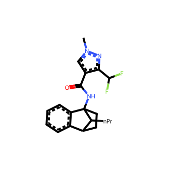 CCCC1C2CCC1(NC(=O)c1cn(C)nc1C(F)F)c1ccccc12